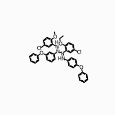 CCOc1ccc(Cl)cc1N(Nc1ccc(Oc2ccccc2)cc1)N(Nc1cc(Cl)ccc1OC)c1cccc(Oc2ccccc2)c1